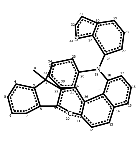 CC1(C)c2ccccc2-c2cc3ccc4cccc(N(c5ccccc5)c5cccc6ccsc56)c4c3cc21